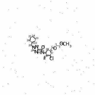 COCCOCc1cc(Cl)c(F)c(NC(=O)c2ncn(Cc3ccccc3)n2)c1